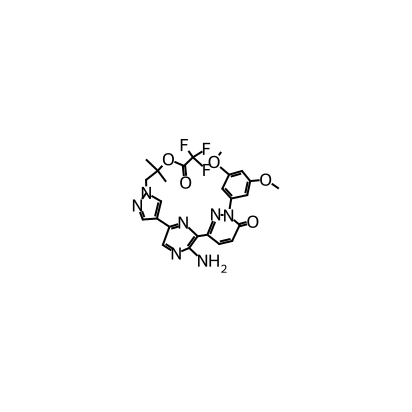 COc1cc(OC)cc(-n2nc(-c3nc(-c4cnn(CC(C)(C)OC(=O)C(F)(F)F)c4)cnc3N)ccc2=O)c1